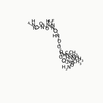 CN[C@@H](C)C(=O)N[C@H](C(=O)N1Cc2cc(OCCOCCOCCOCCNCc3ccc(-n4cc(NC(=O)c5coc(-c6ccnc(NCC7CC7)c6)n5)c(C(F)F)n4)cc3)ccc2C[C@H]1C(N)=O)C(C)(C)C